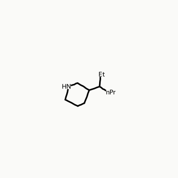 CCCC(CC)C1CCCNC1